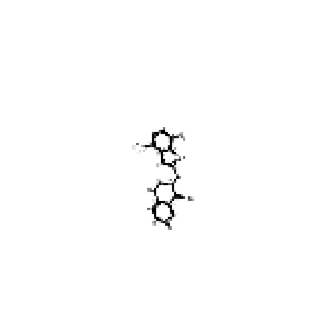 Cc1ccc(Br)c2oc(CN3CCc4ccncc4C3=O)cc12